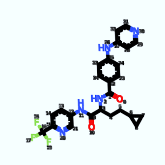 O=C(NC(CCC1CC1)C(=O)Nc1ccc(C(F)(F)F)nc1)c1ccc(Nc2ccncc2)cc1